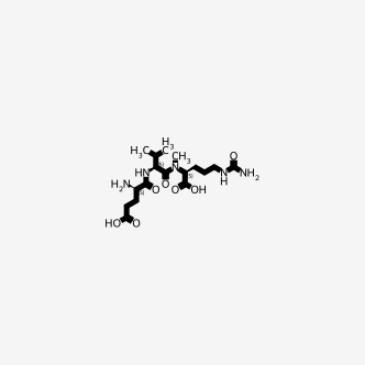 CC(C)[C@H](NC(=O)[C@@H](N)CCC(=O)O)C(=O)N(C)[C@@H](CCCNC(N)=O)C(=O)O